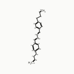 C=CCCc1ccc(C=NN=Cc2ccc(CCC=C)cc2)cc1